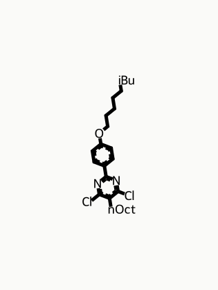 CCCCCCCCc1c(Cl)nc(-c2ccc(OCCCCCC(C)CC)cc2)nc1Cl